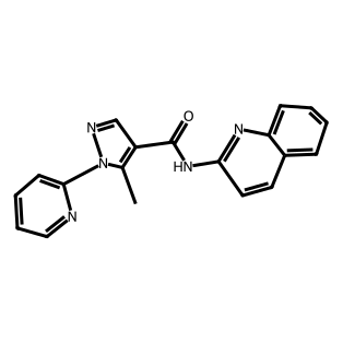 Cc1c(C(=O)Nc2ccc3ccccc3n2)cnn1-c1ccccn1